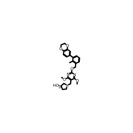 COc1nc(OCc2cccc(-c3ccc4c(c3)OCCO4)c2C)nc(OC)c1CN1CC[C@@H](O)C1